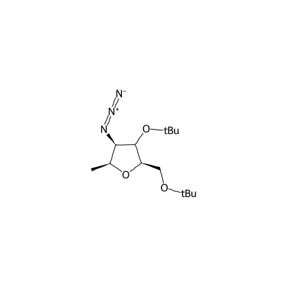 C[C@@H]1O[C@H](COC(C)(C)C)C(OC(C)(C)C)[C@@H]1N=[N+]=[N-]